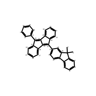 CC1(C)c2ccccc2-c2ccc(C3=C4C(=C(c5ccccc5)c5ccccc54)c4ccccc43)cc21